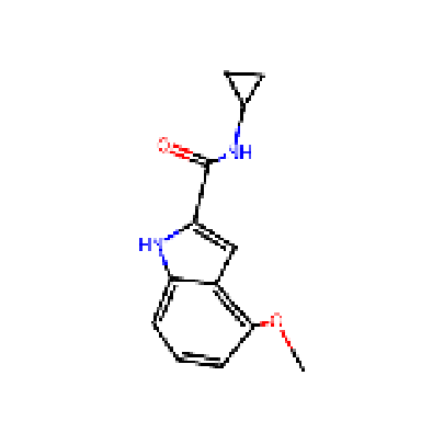 COc1cccc2[nH]c(C(=O)NC3CC3)cc12